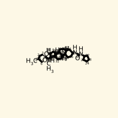 C[C@H]1CC[C@@]2(OC1)O[C@H]1C[C@H]3[C@@H]4CC[C@@H]5C[C@H](NC(=O)NC6CCCC6)CC[C@]5(C)[C@H]4CC[C@]3(C)[C@H]1[C@@H]2C